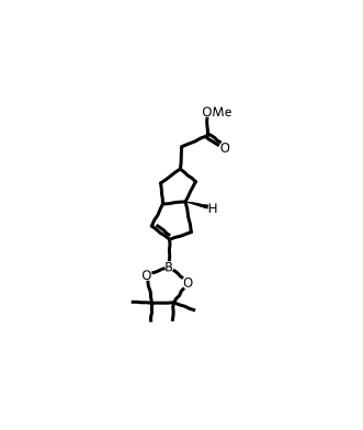 COC(=O)CC1CC2C=C(B3OC(C)(C)C(C)(C)O3)C[C@H]2C1